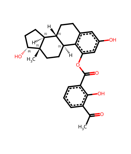 CC(=O)c1cccc(C(=O)Oc2cc(O)cc3c2[C@H]2CC[C@]4(C)[C@H](O)CC[C@H]4[C@@H]2CC3)c1O